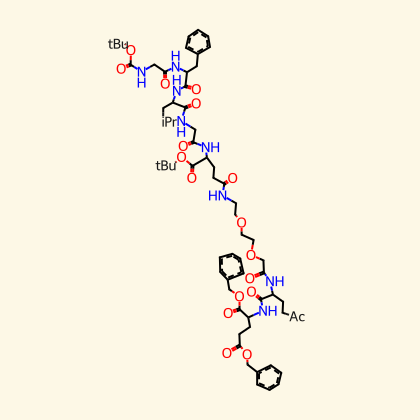 CC(=O)CCC(NC(=O)COCCOCCNC(=O)CCC(NC(=O)CNC(=O)C(CC(C)C)NC(=O)C(Cc1ccccc1)NC(=O)CNC(=O)OC(C)(C)C)C(=O)OC(C)(C)C)C(=O)NC(CCC(=O)OCc1ccccc1)C(=O)OCc1ccccc1